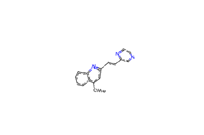 COc1cc(/C=C/c2cnccn2)nc2ccccc12